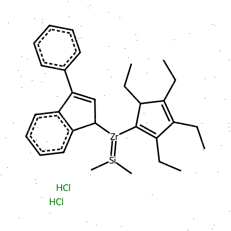 CCC1=C(CC)C(CC)[C]([Zr]([CH]2C=C(c3ccccc3)c3ccccc32)=[Si](C)C)=C1CC.Cl.Cl